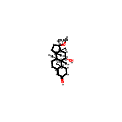 CCO[C@]1(C(=O)O)CC[C@H]2[C@@H]3CCC4=CC(=O)CC[C@]4(C)[C@H]3[C@@H](O)C[C@@]21C